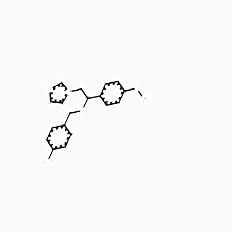 CCCCSc1ccc(C(Cn2ccnc2)SCc2ccc(Cl)cc2)cc1